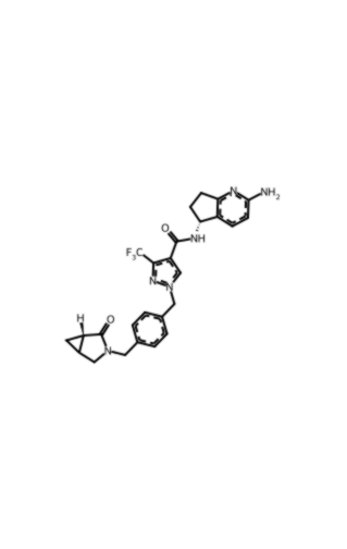 Nc1ccc2c(n1)CC[C@H]2NC(=O)c1cn(Cc2ccc(CN3CC4C[C@@H]4C3=O)cc2)nc1C(F)(F)F